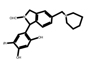 CC(C)c1cc(C2c3ccc(CN4CCCCC4)cc3CN2C=O)c(O)cc1O